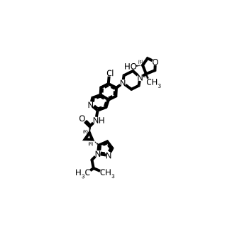 CC(C)Cn1nccc1[C@@H]1C[C@H]1C(=O)Nc1cc2cc(N3CCN([C@@]4(C)COC[C@H]4O)CC3)c(Cl)cc2cn1